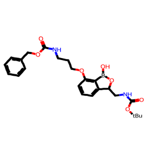 CC(C)(C)OC(=O)NCC1OB(O)c2c(OCCCNC(=O)OCc3ccccc3)cccc21